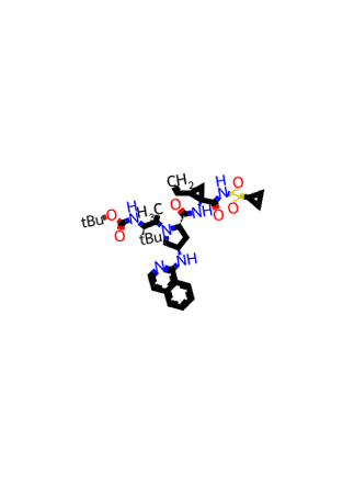 C=CC1C[C@]1(NC(=O)[C@@H]1C[C@@H](Nc2nccc3ccccc23)CN1C(C)[C@@H](NC(=O)OC(C)(C)C)C(C)(C)C)C(=O)NS(=O)(=O)C1CC1